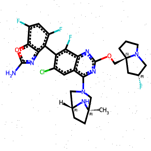 C[C@@]12CC[C@H](CN(c3nc(OC[C@@]45CCCN4C[C@H](F)C5)nc4c(F)c(-c5c(F)cc(F)c6oc(N)nc56)c(Cl)cc34)C1)N2